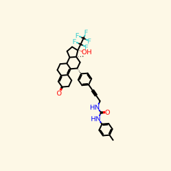 Cc1ccc(NC(=O)NCC#Cc2ccc([C@H]3C[C@@]4(C)C(CC[C@@]4(O)C(F)(F)C(F)(F)F)C4CCC5=CC(=O)CCC5=C43)cc2)cc1